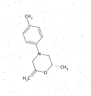 C=C1CN(c2ccc(C)cc2)C[C@H](C)O1